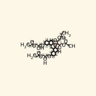 C#CC(=O)OCC(O)COc1ccc2ccc(OCC(O)COC(=O)C=C)cc2c1Cc1c(OCC(O)COC(=O)C=C)ccc2ccc(OCC(O)COC(=O)C=C)cc12